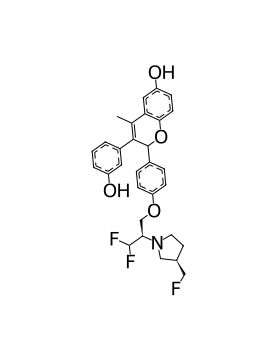 CC1=C(c2cccc(O)c2)C(c2ccc(OC[C@H](C(F)F)N3CC[C@@H](CF)C3)cc2)Oc2ccc(O)cc21